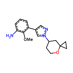 COc1c(N)cccc1-c1cnn(C2CCOC3(CC3)C2)c1